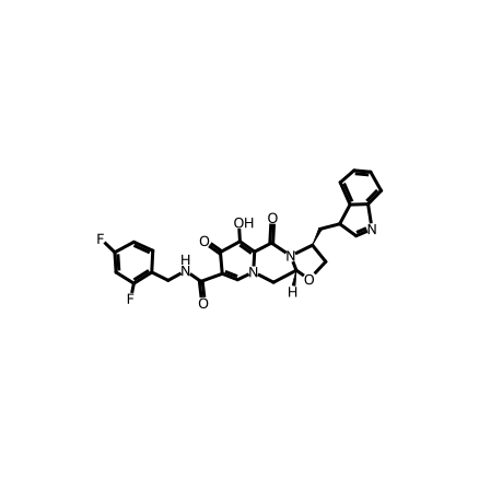 O=C(NCc1ccc(F)cc1F)c1cn2c(c(O)c1=O)C(=O)N1[C@@H](CC3C=Nc4ccccc43)CO[C@@H]1C2